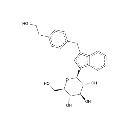 OCCc1ccc(Cc2cn([C@@H]3O[C@H](CO)[C@@H](O)[C@H](O)[C@H]3O)c3ccccc23)cc1